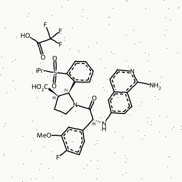 COc1cc([C@@H](Nc2ccc3c(N)nccc3c2)C(=O)N2CC[C@@H](C(=O)O)[C@H]2c2ccccc2S(=O)(=O)C(C)C)ccc1F.O=C(O)C(F)(F)F